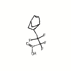 O=S(O)C(F)(F)C(F)(F)C1CC2C=CC1C2